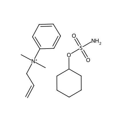 C=CC[N+](C)(C)c1ccccc1.NS(=O)(=O)OC1CCCCC1